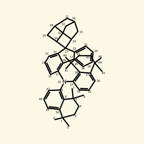 CC1(C)CCC(C)(C)c2c(N(c3cccc4c3-c3ccccc3C43C4CC5CC6CC3C64C5)c3cccc4c3C(C)(C)CCC4(C)C)cccc21